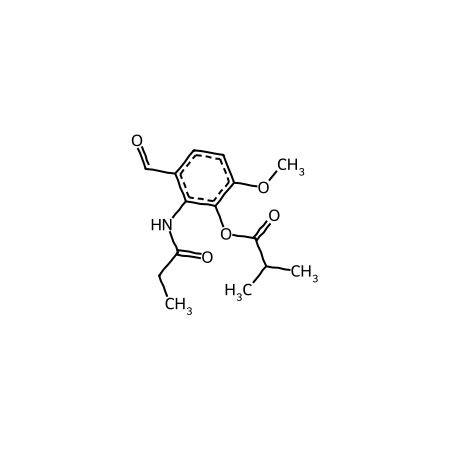 CCC(=O)Nc1c(C=O)ccc(OC)c1OC(=O)C(C)C